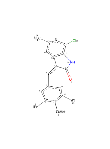 COc1c(C(C)C)cc(/C=C2\C(=O)Nc3c(Cl)cc(C)cc32)cc1C(C)C